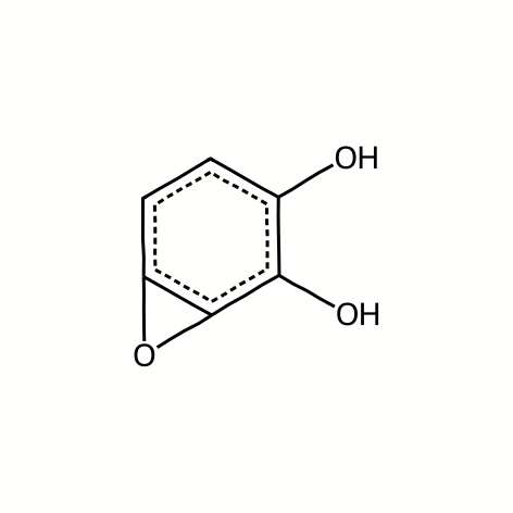 Oc1ccc2c(c1O)O2